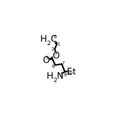 C=CCOC(=O)CCC(N)CC